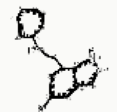 Brc1cc(CNc2ccccc2)c2[nH]ncc2c1